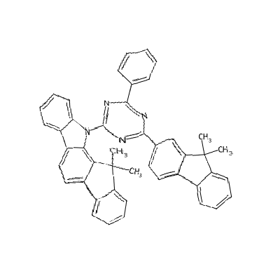 CC1(C)c2ccccc2-c2ccc(-c3nc(-c4ccccc4)nc(-n4c5ccccc5c5ccc6c(c54)C(C)(C)c4ccccc4-6)n3)cc21